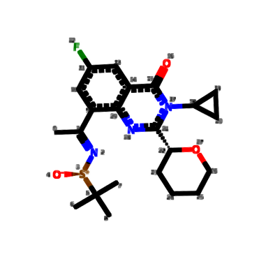 CC(=N[S@+]([O-])C(C)(C)C)c1cc(F)cc2c(=O)n(C3CC3)c([C@H]3CCCCO3)nc12